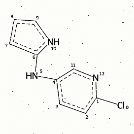 Clc1ccc(Nc2ccc[nH]2)cn1